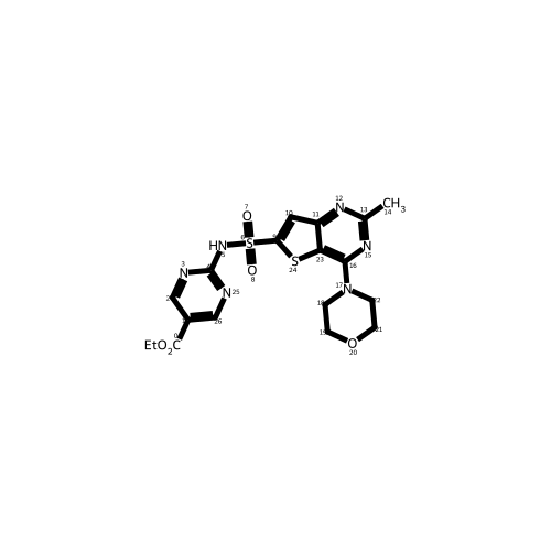 CCOC(=O)c1cnc(NS(=O)(=O)c2cc3nc(C)nc(N4CCOCC4)c3s2)nc1